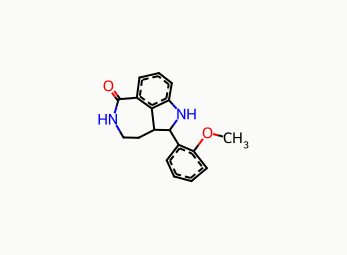 COc1ccccc1C1Nc2cccc3c2C1CCNC3=O